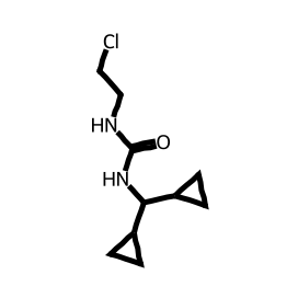 O=C(NCCCl)NC(C1CC1)C1CC1